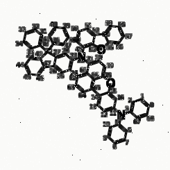 c1ccc(N(c2ccccc2)c2ccc3c(c2)Oc2ccc(N(c4ccc5c(c4)C(c4ccccc4)(c4ccccc4)c4ccccc4-5)c4cccc5c4oc4ccccc45)c4cccc-3c24)cc1